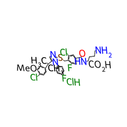 COc1cc(C(C)(C)c2cnc(SCc3c(F)cc(C(=O)NC(CCCN)C(=O)O)cc3Cl)n2-c2ccc(F)cc2)ccc1Cl.Cl